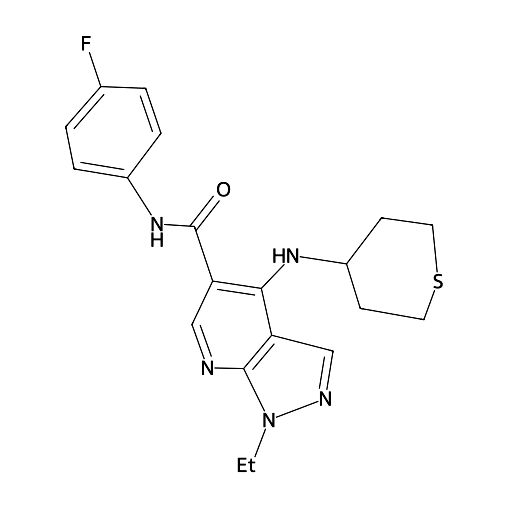 CCn1ncc2c(NC3CCSCC3)c(C(=O)Nc3ccc(F)cc3)cnc21